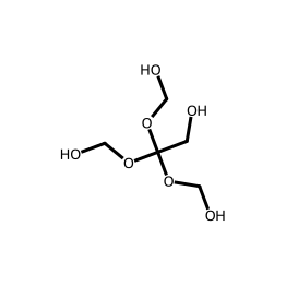 OCOC(CO)(OCO)OCO